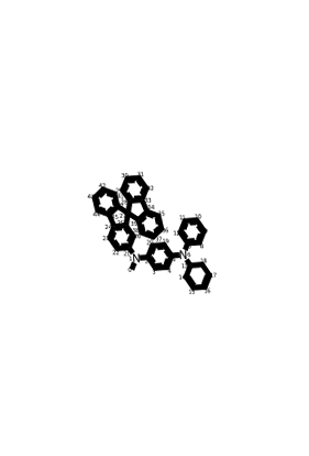 CN(c1ccc(N(c2ccccc2)C2C=CC=CC2)cc1)c1ccc2c(c1)C1(c3ccccc3-c3ccccc31)c1ccccc1-2